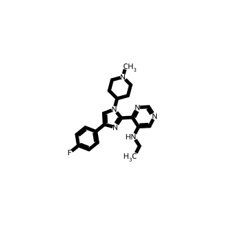 CCNc1cncnc1-c1nc(-c2ccc(F)cc2)cn1C1CCN(C)CC1